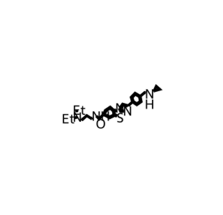 CCN(CC)CCCNC(=O)c1ccc2c(c1)sc1nc(-c3ccc(CNC4CC4)cc3)cn12